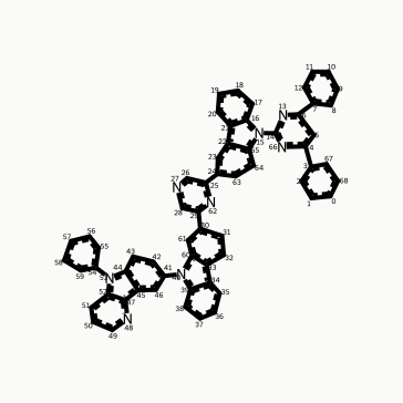 c1ccc(-c2cc(-c3ccccc3)nc(-n3c4ccccc4c4cc(-c5cncc(-c6ccc7c8ccccc8n(-c8ccc9c(c8)c8ncccc8n9-c8ccccc8)c7c6)n5)ccc43)n2)cc1